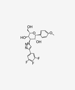 COc1ccc([C@@H]2O[C@H](CO)[C@H](O)[C@H](n3cc(-c4cc(F)c(F)c(F)c4)nn3)[C@H]2O)cc1